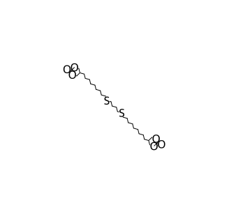 O=C1OCC(CCCCCCCCCSCCCCSCCCCCCCCCC2COC(=O)OC2)CO1